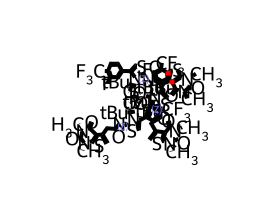 Cn1c(=O)c2c(CC(=O)/N=c3\scc(-c4ccc(C(F)(F)F)c(F)c4)n3C(OP(=O)(OC(n3c(-c4ccc(C(F)(F)F)c(F)c4)cs/c3=N\C(=O)Cc3csc4c3c(=O)n(C)c(=O)n4C)(C(C)(C)C)C(C)(C)C)OC(n3c(-c4ccc(C(F)(F)F)c(F)c4)cs/c3=N\C(=O)Cc3csc4c3c(=O)n(C)c(=O)n4C)(C(C)(C)C)C(C)(C)C)(C(C)(C)C)C(C)(C)C)csc2n(C)c1=O